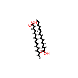 CCCCC=CCCCCCCCCC(=O)O.CCCCCCC=CCCCCCCCC(=O)O